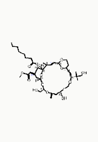 C=C1C[C@H](O)CCO[C@H](C(C)(C)CO)C[C@@H]2CCO[C@H](/C=C/C(C)(C)[C@]3(O)O[C@@H](C/C(=C\C(=O)OC)[C@@H]3OC(=O)CCCCCCC)C[C@H](CO)O1)O2